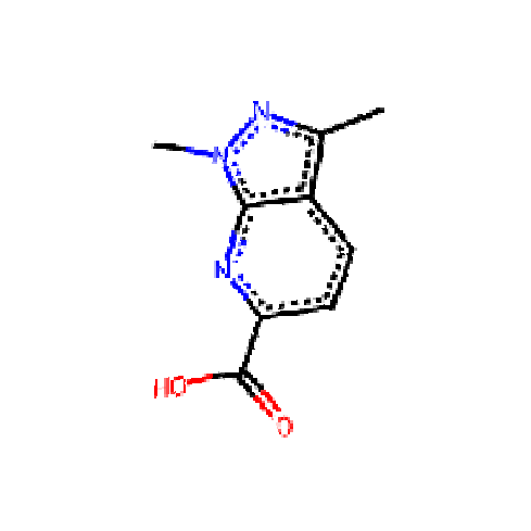 Cc1nn(C)c2nc(C(=O)O)ccc12